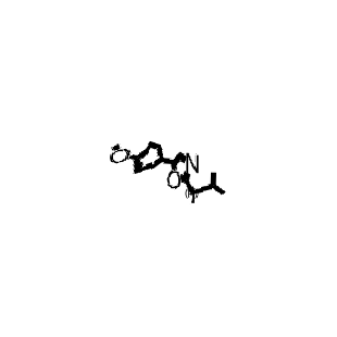 COc1ccc(-c2cnc([C@H](C)C(C)C)o2)cc1